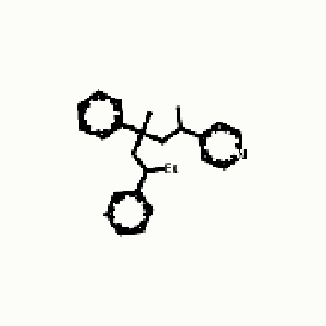 CCC(CC(C)(CC(C)c1ccncc1)c1ccccc1)c1ccccc1